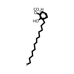 O=C(O)Oc1cccc(CCCCCCCCCCCCCI)c1O